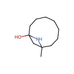 CC12CCCCCCCC(O)(C1)N2